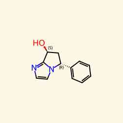 O[C@H]1C[C@H](c2ccccc2)n2ccnc21